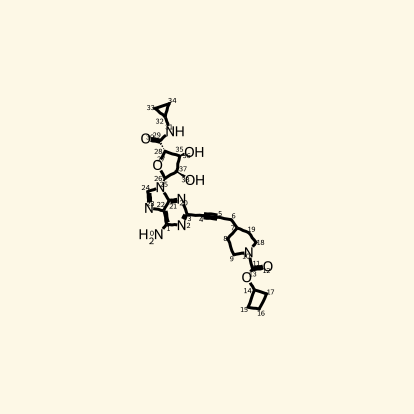 Nc1nc(C#CCC2CCN(C(=O)OC3CCC3)CC2)nc2c1ncn2[C@@H]1O[C@H](C(=O)NC2CC2)[C@@H](O)[C@H]1O